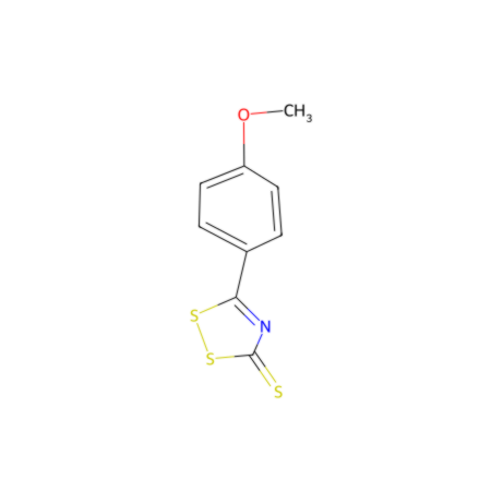 COc1ccc(-c2nc(=S)ss2)cc1